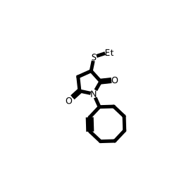 CCSC1CC(=O)N(C2C#CCCCCC2)C1=O